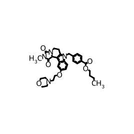 CCCCOC(=O)c1ccc(Cn2c3c(c4cc(OCCN5CCOCC5)ccc42)C2C(=O)N(C)C(=O)N2CC3)cc1